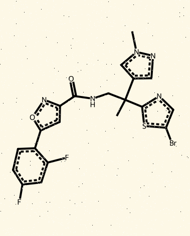 Cn1cc(C(C)(CNC(=O)c2cc(-c3ccc(F)cc3F)on2)c2ncc(Br)s2)cn1